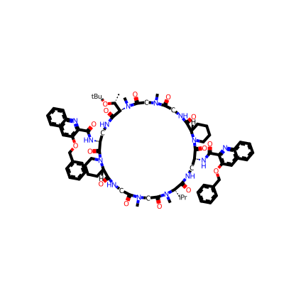 CC(C)[C@H]1C(=O)NC[C@@H](NC(=O)c2nc3ccccc3cc2OCc2ccccc2)C(=O)N2CCCC[C@H]2C(=O)NCC(=O)N(C)CC(=O)N(C)[C@@H]([C@@H](C)OC(C)(C)C)C(=O)NC[C@@H](NC(=O)c2nc3ccccc3cc2OCc2ccccc2)C(=O)N2CCCC[C@H]2C(=O)NCC(=O)N(C)CC(=O)N1C